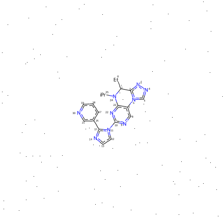 CCC1c2nncn2-c2cnc(-n3ccnc3-c3cccnc3)nc2N1C(C)C